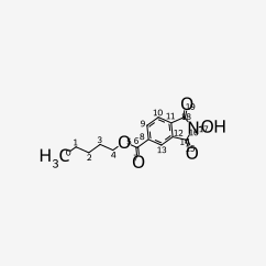 CCCCCOC(=O)c1ccc2c(c1)C(=O)N(O)C2=O